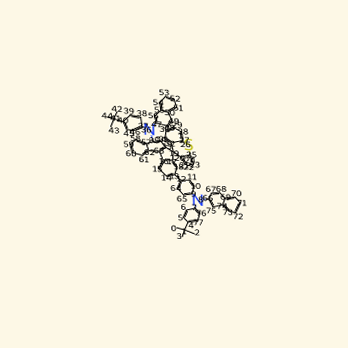 CC(C)(C)c1ccc(N(c2ccc(-c3ccc4c(c3)C3(c5ccccc5Sc5ccccc53)c3cc(N(c5ccc(C(C)(C)C)cc5)c5ccc6ccccc6c5)c5ccccc5c3-4)cc2)c2ccc3ccccc3c2)cc1